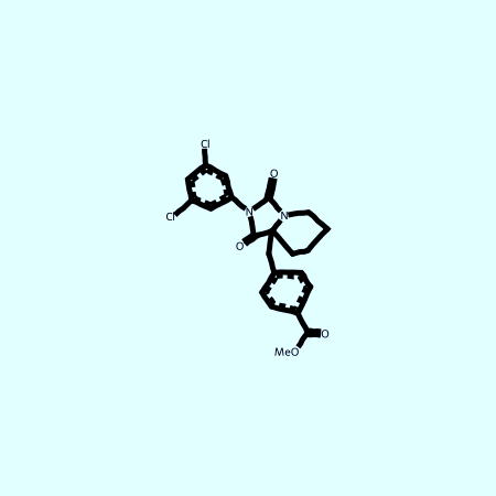 COC(=O)c1ccc(CC23CCCCN2C(=O)N(c2cc(Cl)cc(Cl)c2)C3=O)cc1